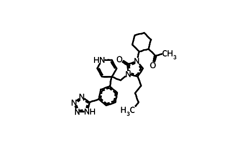 CCCCc1cn(C2CCCCC2C(C)=O)c(=O)n1CC1(c2cccc(-c3nnn[nH]3)c2)C=CNC=C1